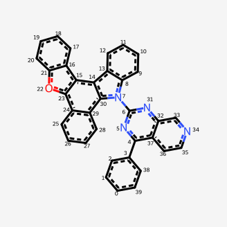 c1ccc(-c2nc(-n3c4ccccc4c4c5c6ccccc6oc5c5ccccc5c43)nc3cnccc23)cc1